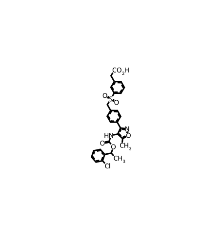 Cc1onc(-c2ccc(CS(=O)(=O)c3cccc(CC(=O)O)c3)cc2)c1NC(=O)OC(C)c1ccccc1Cl